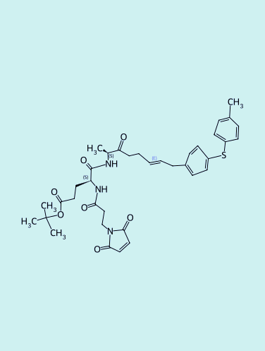 Cc1ccc(Sc2ccc(C/C=C/CCC(=O)[C@H](C)NC(=O)[C@H](CCC(=O)OC(C)(C)C)NC(=O)CCN3C(=O)C=CC3=O)cc2)cc1